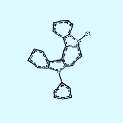 CCn1c2ccccc2c2c3c4ccccc4n(-c4ccccc4)c3ccc21